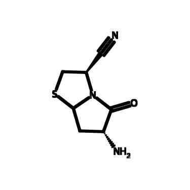 N#C[C@@H]1CSC2C[C@@H](N)C(=O)N21